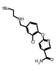 CC(C)(C)CCNCc1ccc(Oc2ccc(C(N)=O)cn2)c(Cl)c1